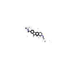 CCCCCC/C(=N\OC(C)=O)C(=O)c1ccc2c(c1)C(CCCC)(CCCC)c1cc3c(cc1-2)CC/C(=C/CCNOC(C)=O)C3=O